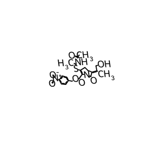 CC(=O)NC(C)SC1=C(C(=O)OCc2ccc([N+](=O)[O-])cc2)N2C(=O)/C(=C(\C)CO)C2C1